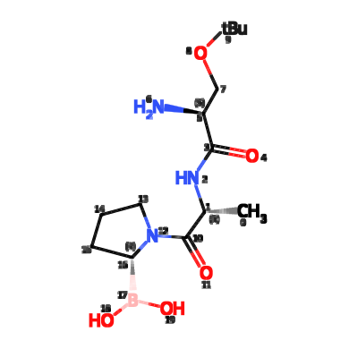 C[C@@H](NC(=O)[C@@H](N)COC(C)(C)C)C(=O)N1CCC[C@H]1B(O)O